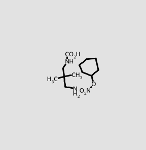 CC(C)(CN)CNC(=O)O.O=[N+]([O-])OC1CCCCC1